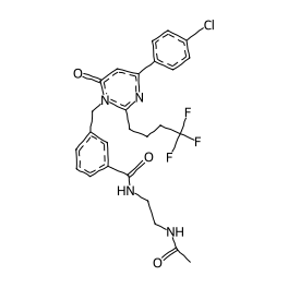 CC(=O)NCCNC(=O)c1cccc(Cn2c(CCCC(F)(F)F)nc(-c3ccc(Cl)cc3)cc2=O)c1